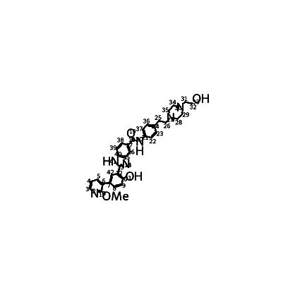 COc1ncccc1-c1ccc(O)c(-c2nc3cc(C(=O)Nc4ccc(CCN5CCN(CCO)CC5)cc4)ccc3[nH]2)c1